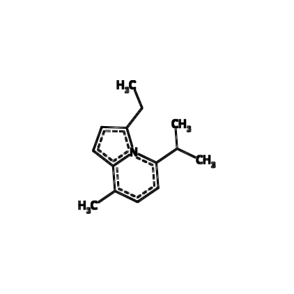 CCc1ccc2c(C)ccc(C(C)C)n12